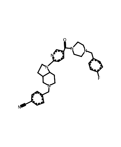 N#Cc1ccc(CN2CCC3C(CCN3c3ccc(C(=O)N4CCN(Cc5ccc(F)cc5)CC4)cn3)C2)cc1